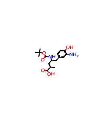 CC(CC(Cc1ccc(O)c(N)c1)NC(=O)OC(C)(C)C)C(=O)O